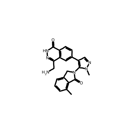 Cc1cccc2c1C(=O)N(c1c(-c3ccc4c(=O)[nH]nc(CN)c4c3)cnn1C)C2